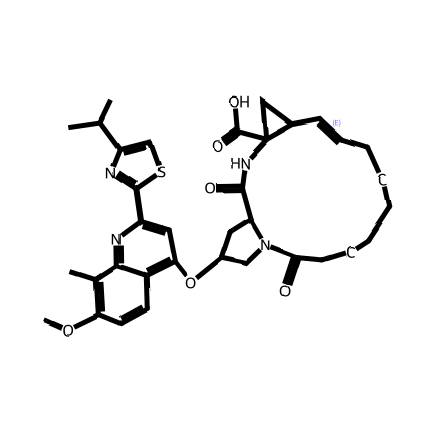 COc1ccc2c(OC3CC4C(=O)NC5(C(=O)O)CC5/C=C/CCCCCCC(=O)N4C3)cc(-c3nc(C(C)C)cs3)nc2c1C